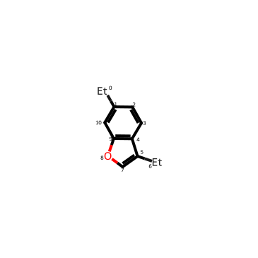 CCc1ccc2c(CC)coc2c1